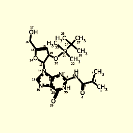 CC(C)C(=O)Nc1nc2c(ncn2C2OC(CO)=CC2O[Si](C)(C)C(C)(C)C)c(=O)[nH]1